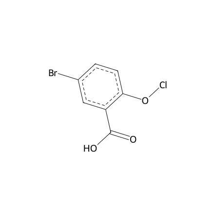 O=C(O)c1cc(Br)ccc1OCl